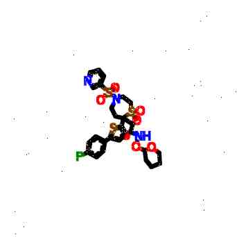 O=C(CC1(c2ccc(-c3ccc(F)cc3)s2)CCN(S(=O)(=O)c2cccnc2)CCS1(=O)=O)NOC1CCCCO1